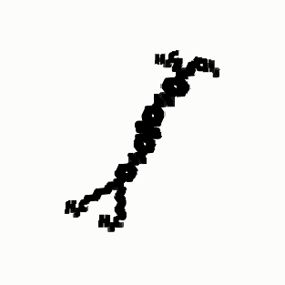 CCCCCCN(CCCCCC)c1ccc(N=Nc2ccc(S(=O)(=O)c3ccc(N=Nc4ccc(N(CCC)CCC)cc4)cc3)cc2)cc1